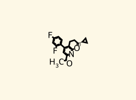 CC(=O)c1cc(-c2ccc(F)cc2F)c2c(n1)O[C@@H](C1CC1)CC2